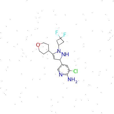 Nc1ncc(C2C=C(C3CCOCC3)N(C3CC(F)(F)C3)N2)cc1Cl